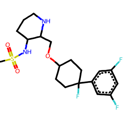 CS(=O)(=O)NC1CCCNC1COC1CCC(F)(c2cc(F)cc(F)c2)CC1